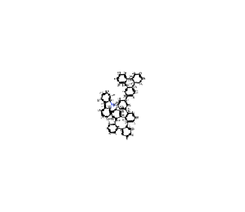 c1ccc2c(c1)-c1ccccc1-c1cccc(-c3cc(-c4ccc5c6ccccc6c6ccccc6c5c4)cc(-n4c5ccccc5c5ccccc54)c3)c1-c1ccccc1-2